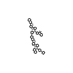 CC1(C)c2ccccc2-c2ccc(N(c3cccc(-c4ccc5cc6c(cc5c4)sc4c6ccc5sc6c(N(c7ccc(-c8ccccc8)cc7)c7cccc8ccccc78)cccc6c54)c3)c3cccc4c3sc3ccc5c6cc7ccccc7cc6sc5c34)cc21